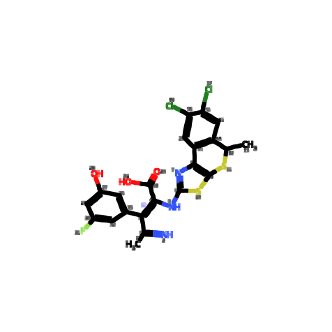 CC(=N)/C(=C(\Nc1nc2c(s1)SC(C)c1cc(Cl)c(Cl)cc1-2)C(=O)O)c1cc(O)cc(F)c1